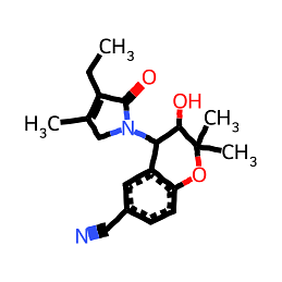 CCC1=C(C)CN(C2c3cc(C#N)ccc3OC(C)(C)C2O)C1=O